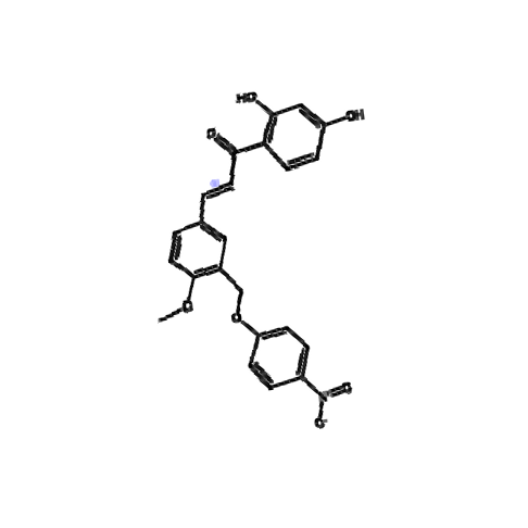 COc1ccc(/C=C/C(=O)c2ccc(O)cc2O)cc1COc1ccc([N+](=O)[O-])cc1